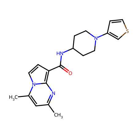 Cc1cc(C)n2ccc(C(=O)NC3CCN(c4ccsc4)CC3)c2n1